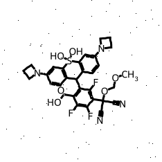 COCOC(C#N)(C#N)c1c(F)c(F)c(C(=O)O)c(C2c3ccc(N4CCC4)cc3S(O)(O)c3cc(N4CCC4)ccc32)c1F